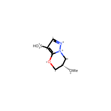 CO[C@@H]1COc2c(S(=O)(=O)O)cnn2C1